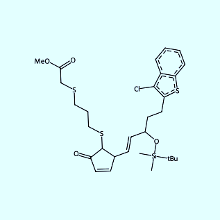 COC(=O)CSCCCSC1C(=O)C=CC1C=CC(CCc1sc2ccccc2c1Cl)O[Si](C)(C)C(C)(C)C